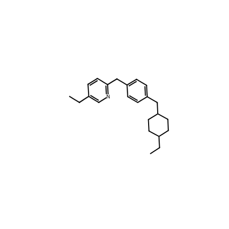 CCc1ccc(Cc2ccc(CC3CCC(CC)CC3)cc2)nc1